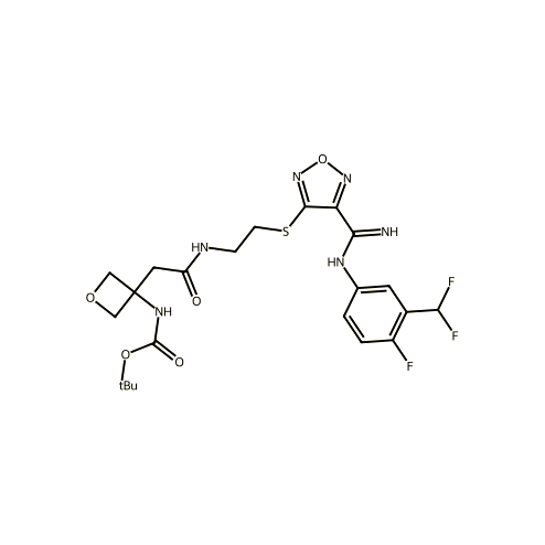 CC(C)(C)OC(=O)NC1(CC(=O)NCCSc2nonc2C(=N)Nc2ccc(F)c(C(F)F)c2)COC1